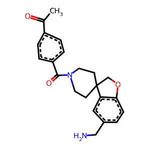 CC(=O)c1ccc(C(=O)N2CCC3(CC2)COc2ccc(CN)cc23)cc1